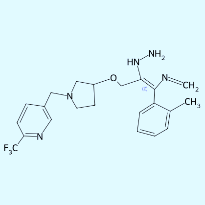 C=N/C(=C(/COC1CCN(Cc2ccc(C(F)(F)F)nc2)C1)NN)c1ccccc1C